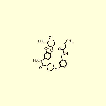 CCCC(=O)NCc1cccc(OC2CCC(C(=O)N(C)c3ccc(CN4CCN[C@@H](C)C4)c(C)c3)CC2)c1